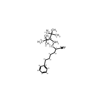 CC(C)(C)C([SiH2]OC(C#N)CCCCc1ccccc1)C(C)(C)C